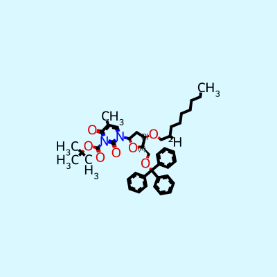 [2H]C(CCCCCCC)CO[C@@H]1CC(n2cc(C)c(=O)n(C(=O)OC(C)(C)C)c2=O)O[C@@H]1COC(c1ccccc1)(c1ccccc1)c1ccccc1